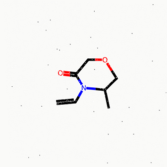 C=CN1C(=O)COCC1C